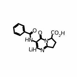 O=C(Nc1cnc2n(c1=O)C(C(=O)O)CC2)c1ccccc1.[LiH]